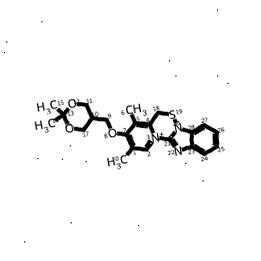 Cc1c[n+]2c(c(C)c1OCC1COC(C)(C)OC1)CSn1c-2nc2ccccc21